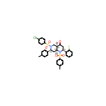 Cc1ccc([C@@H]2C[C@H]3[C@@H](CN2S(=O)(=O)c2ccc(Cl)cc2)C(=O)C[C@@H](c2ccccc2F)N3S(=O)(=O)c2ccc(C)cc2)cc1